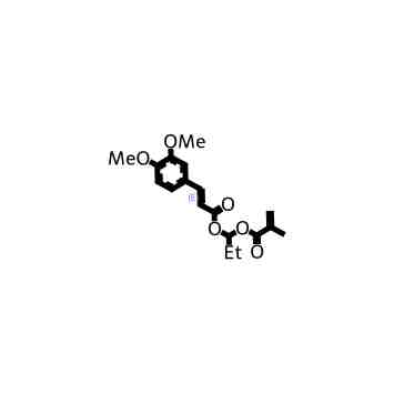 C=C(C)C(=O)OC(CC)OC(=O)/C=C/c1ccc(OC)c(OC)c1